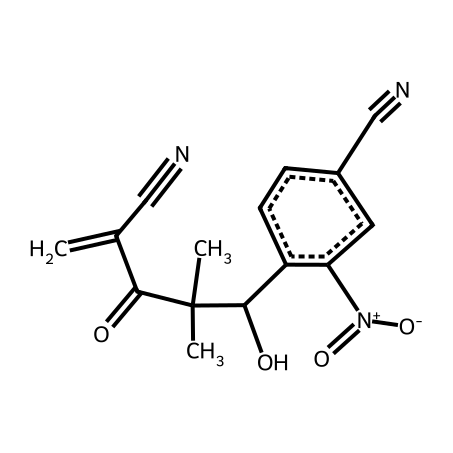 C=C(C#N)C(=O)C(C)(C)C(O)c1ccc(C#N)cc1[N+](=O)[O-]